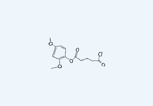 COc1ccc(OC(=O)CCCC(=O)Cl)c(OC)c1